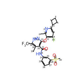 Cc1nc(C2CCC2)cc(F)c1Oc1nnc(C(F)(F)F)c(C)c1C(=O)Nc1cccc(S(C)(=O)=O)c1